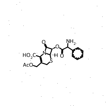 CC(=O)OCC1=C(C(=O)O)N2C(=O)[C@@H](OC(=O)C(N)c3ccccc3)[C@H]2SC1